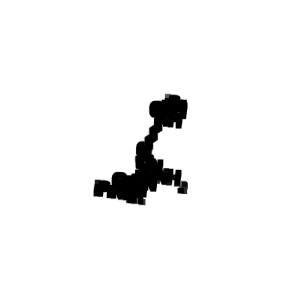 CCOCc1nc2c(N)nc3cc(OCCCCCCNC(=O)NC(C)C)ccc3c2n1CC(C)(C)NC(=O)NC(C)C